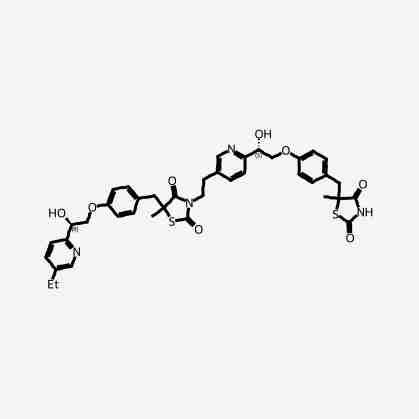 CCc1ccc([C@@H](O)COc2ccc(CC3(C)SC(=O)N(CCc4ccc([C@H](O)COc5ccc(CC6(C)SC(=O)NC6=O)cc5)nc4)C3=O)cc2)nc1